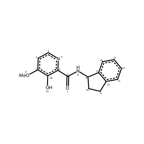 COc1ccnc(C(=O)NC2CCc3ccccc32)c1O